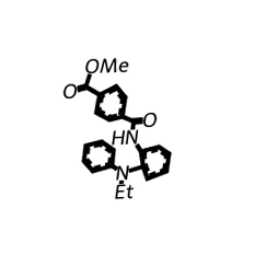 CCN(c1ccccc1)c1ccccc1NC(=O)c1ccc(C(=O)OC)cc1